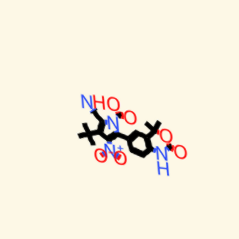 CC(C)(C)c1c([N+](=O)[O-])c(-c2ccc3c(c2)C(C)(C)OC(=O)N3)n(C(=O)O)c1C#N